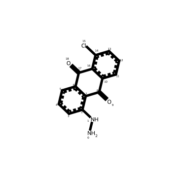 NNc1cccc2c1C(=O)c1cccc(Cl)c1C2=O